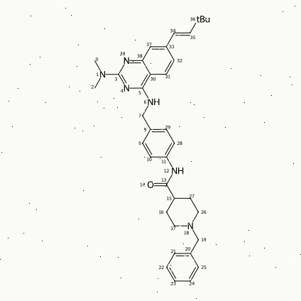 CN(C)c1nc(NCc2ccc(NC(=O)C3CCN(Cc4ccccc4)CC3)cc2)c2ccc(C=CC(C)(C)C)cc2n1